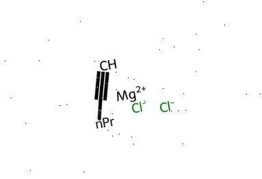 C#CCCC.[Cl-].[Cl-].[Mg+2]